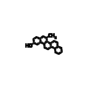 Cc1cc2ccc(O)cc2c2ccc3c4ccccc4ccc3c12